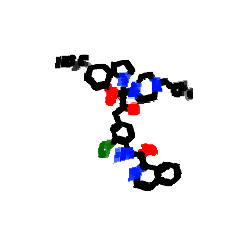 O=C(Nc1ccc(CC(=O)C(O[C@H]2CC[C@H](C(=O)O)CC2)(N2CCCC2)N2CCN(CC(F)(F)F)CC2)cc1Cl)c1nccc2ccccc12